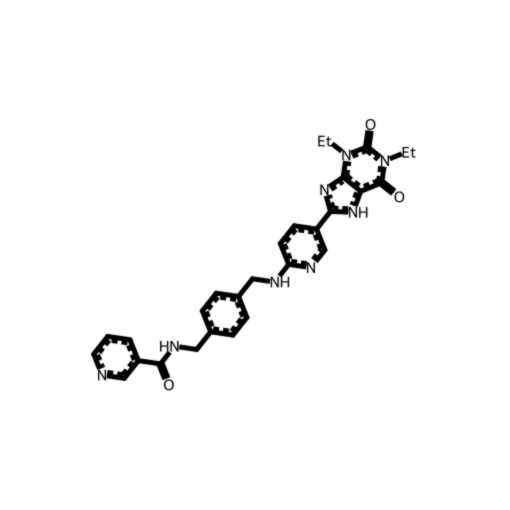 CCn1c(=O)c2[nH]c(-c3ccc(NCc4ccc(CNC(=O)c5cccnc5)cc4)nc3)nc2n(CC)c1=O